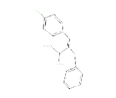 CC(=O)OC(OC(C)=O)C(=Cc1ccc(Cl)cc1)Cc1ccccc1